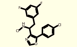 Fc1cc(F)cc(CC(NCl)c2ncoc2-c2ccc(Cl)cc2)c1